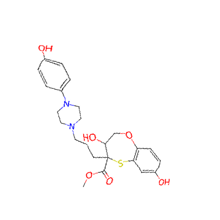 COC(=O)C1(CCCN2CCN(c3ccc(O)cc3)CC2)Sc2cc(O)ccc2OCC1O